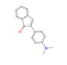 CN(C)c1ccc(C2=Cc3ccccc3C2=O)cc1